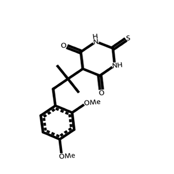 COc1ccc(CC(C)(C)C2C(=O)NC(=S)NC2=O)c(OC)c1